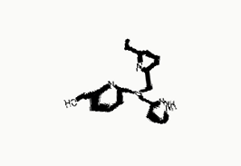 CCc1cccc(CN(Cc2cc[nH]n2)Cc2cccc(CO)n2)n1